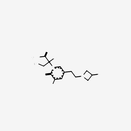 CCC(CC(C)C)(C(=O)OC)n1cc(CCN2CC(F)C2)cc(F)c1=O